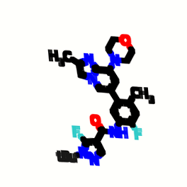 Cc1cn2cc(-c3cc(NC(=O)c4cnn(C(C)(C)C)c4F)c(F)cc3C)cc(N3CCOCC3)c2n1